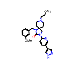 COCCN1CCC2(CC1)CN(c1ccc(-c3cn[nH]c3)cn1)C(=O)N2Cc1cccc(OC)c1